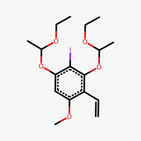 C=Cc1c(OC)cc(OC(C)OCC)c(I)c1OC(C)OCC